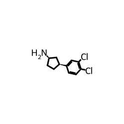 N[C@@H]1CC[C@H](c2ccc(Cl)c(Cl)c2)C1